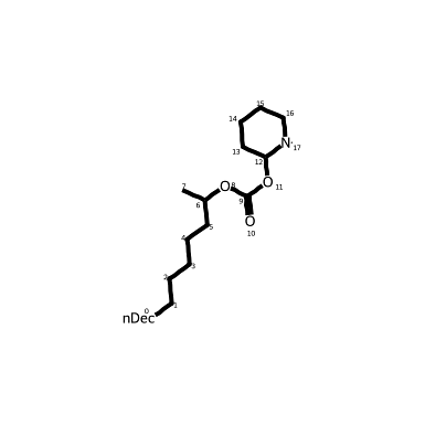 CCCCCCCCCCCCCCCC(C)OC(=O)OC1CCCC[N]1